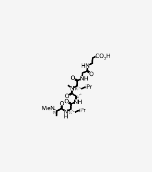 CN[C@@H](C)C(=O)N[C@@H](CC(C)C)C(=O)N[C@@H](C)C(=O)N(C)[C@@H](CC(C)C)C(=O)NCC(=O)NCCC(=O)O